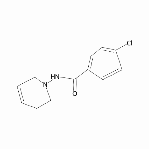 O=C(NN1CC=CCC1)c1ccc(Cl)cc1